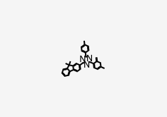 C=C1CC(C)=CC=C1c1nc(-c2ccc(C)cc2)nc(-c2ccc3c(c2)C(C)(C)c2ccccc2-3)n1